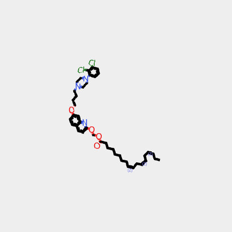 CC/C=C\C/C=C\C/C=C\CCCCCCCC(=O)OCOc1ccc2ccc(OCCCCN3CCN(c4cccc(Cl)c4Cl)CC3)cc2n1